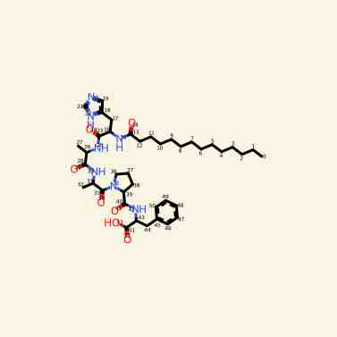 CCCCCCCCCCCCCC(=O)NC(Cc1cnc[nH]1)C(=O)NC(C)C(=O)NC(C)C(=O)N1CCCC1C(=O)NC(Cc1ccccc1)C(=O)O